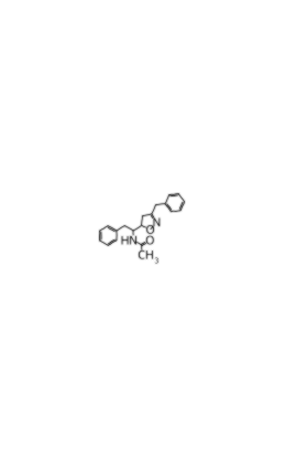 CC(=O)NC(Cc1ccccc1)C1CC(Cc2ccccc2)=NO1